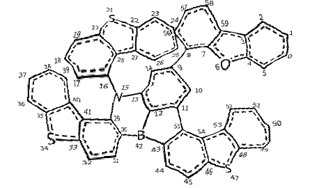 c1ccc2c(c1)oc1c(-c3cc4c5c(c3)N(c3cccc6sc7ccccc7c36)c3c(ccc6sc7ccccc7c36)B5c3ccc5sc6ccccc6c5c3-4)cccc12